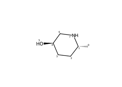 C[C@@H]1CC[C@@H](O)CN1